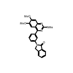 CNc1nc(-c2cccc(N3Cc4ccccc4C3=O)c2)c2cc(OC)c(OC)cc2n1